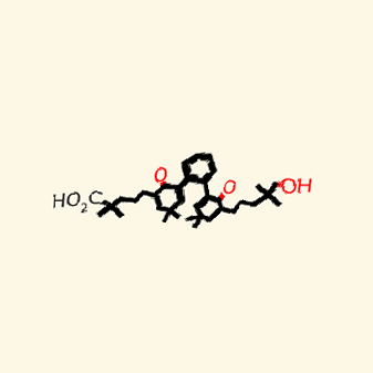 CC1(C)C=C(CCCC(C)(C)CO)C(=O)C(c2ccccc2C2=CC(C)(C)C=C(CCCC(C)(C)C(=O)O)C2=O)=C1